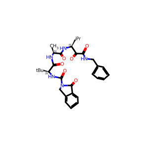 CC(C)[C@H](NC(=O)[C@H](C)NC(=O)[C@@H](NC(=O)N1Cc2ccccc2C1=O)C(C)(C)C)C(=O)C(=O)NCc1ccccc1